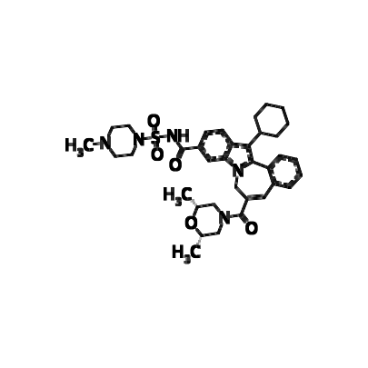 C[C@@H]1CN(C(=O)C2=Cc3ccccc3-c3c(C4CCCCC4)c4ccc(C(=O)NS(=O)(=O)N5CCN(C)CC5)cc4n3C2)C[C@H](C)O1